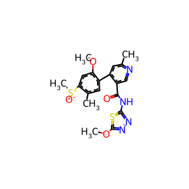 COc1nnc(NC(=O)c2cnc(C)cc2-c2cc(C)c([S@@+](C)[O-])cc2OC)s1